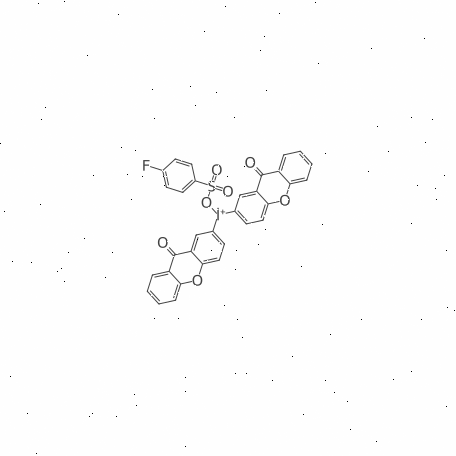 O=c1c2ccccc2oc2ccc([I+](OS(=O)(=O)c3ccc(F)cc3)c3ccc4oc5ccccc5c(=O)c4c3)cc12